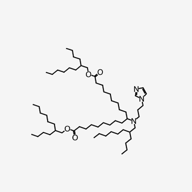 CCCCCCC(CCCC)COC(=O)CCCCCCCCC(CCCCCCCCC(=O)OCC(CCCC)CCCCCC)N(CCCn1ccnc1)CC(CCCC)CCCCCC